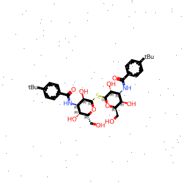 CC(C)(C)c1ccc(C(=O)N[C@@H]2[C@@H](O)[C@@H](CO)O[C@@H](S[C@@H]3O[C@H](CO)[C@H](O)[C@@H](NC(=O)c4ccc(C(C)(C)C)cc4)[C@H]3O)[C@@H]2O)cc1